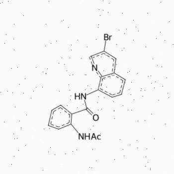 CC(=O)Nc1ccccc1C(=O)Nc1cccc2cc(Br)cnc12